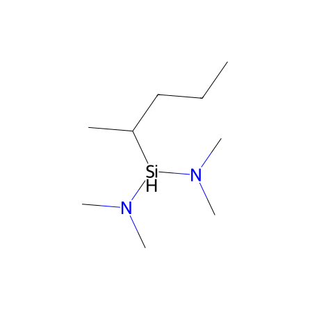 CCCC(C)[SiH](N(C)C)N(C)C